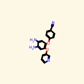 N#Cc1ccc(Oc2cc(N)c(N)cc2Oc2cccnc2)cc1